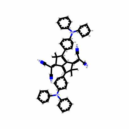 CC1(C)C(=C(C#N)C#N)C2=C(c3ccc(N(c4ccccc4)c4ccccc4)cc3)C(C)(C)C(=C(C#N)C#N)C2=C1c1ccc(N(c2ccccc2)c2ccccc2)cc1